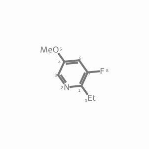 CCc1ncc(OC)cc1F